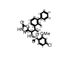 COc1cc(Cl)ccc1S(=O)(=O)NC(c1n[nH]c(=O)o1)C(C)c1cccc(-c2ccccc2)c1C